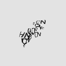 N#Cc1cc(F)c(Oc2ccc(S(=O)(=O)Nc3ccc(F)cn3)cc2C#N)cc1F